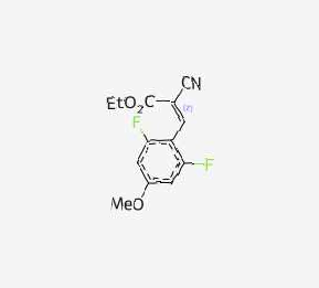 CCOC(=O)/C(C#N)=C\c1c(F)cc(OC)cc1F